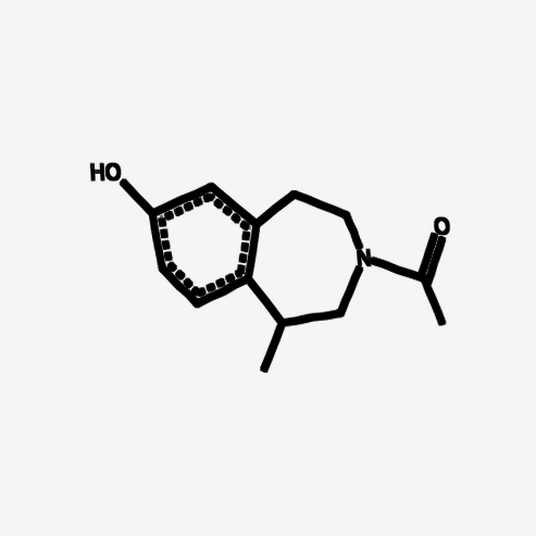 CC(=O)N1CCc2cc(O)ccc2C(C)C1